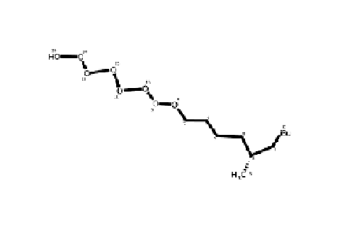 CCC(C)C[C@H](C)CCCCOOOOOOOO